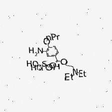 CCCOc1ccc(C(=O)OCCN(CC)CC)cc1N.Cl.O=S(=O)(O)O